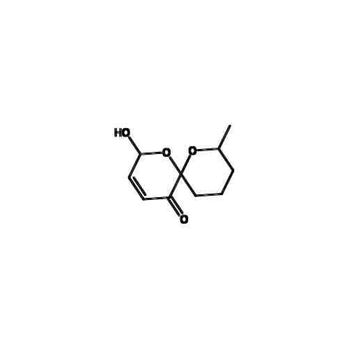 CC1CCCC2(OC(O)C=CC2=O)O1